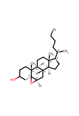 CC(C)CCC[C@@H](C)[C@H]1CC[C@H]2[C@@H]3C[C@H]4O[C@]45CC(O)CC[C@]5(C)[C@H]3CC[C@]12C